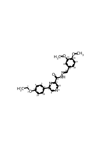 CCOc1ccc(-c2cncc(C(=O)NN=Cc3ccc(OC)c(OC)c3)n2)cc1